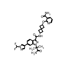 CC(C)(C(N)=O)n1nc(C(=O)N[C@H]2CC3(C2)C[C@H](Oc2ncccc2C(N)=O)C3)c2ccc(-c3cnn(C(F)F)c3)cc21